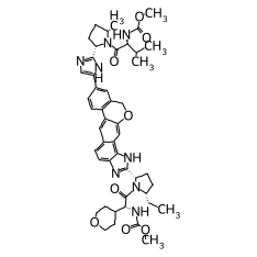 CC[C@H]1CC[C@@H](c2nc3ccc4cc5c(cc4c3[nH]2)OCc2cc(-c3cnc([C@@H]4CC[C@H](C)N4C(=O)[C@@H](NC(=O)OC)C(C)C)[nH]3)ccc2-5)N1C(=O)[C@H](NC(=O)OC)C1CCOCC1